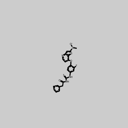 C[S+]([O-])c1cc2nccc(Oc3ccc(NC(=S)NC(=O)Cc4ccccc4)cc3F)c2s1